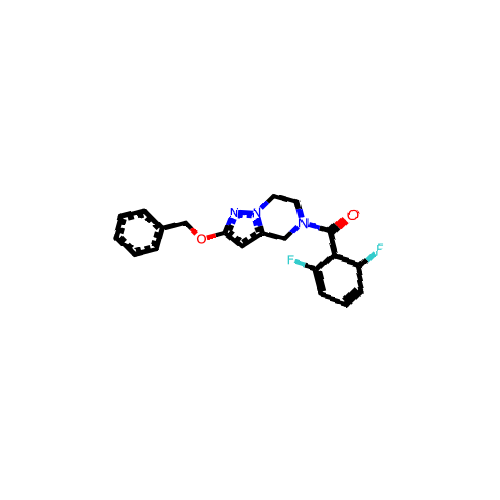 O=C(C1C(F)=CC=CC1F)N1CCn2nc(OCc3ccccc3)cc2C1